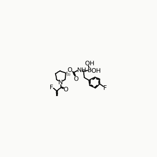 C=C(F)C(=O)N1CCC[C@H](OC(=O)NC(Cc2ccc(F)cc2)B(O)O)C1